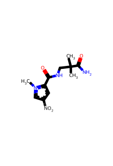 Cn1cc([N+](=O)[O-])cc1C(=O)NCC(C)(C)C(N)=O